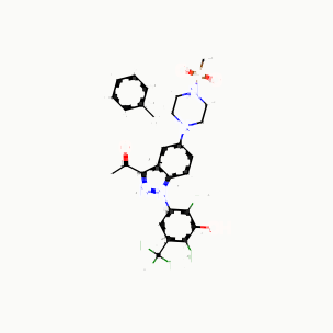 CC(=O)c1nn(-c2cc(C(F)(F)F)c(F)c(O)c2F)c2ccc(N3CCN(S(C)(=O)=O)C[C@H]3Cc3ccccc3)cc12